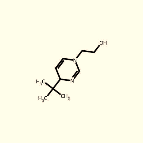 CC(C)(C)C1C=CN(CCO)C=N1